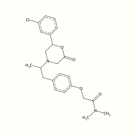 CC(Cc1ccc(OCC(=O)N(C)C)cc1)N1CC(=O)OC(c2cccc(Cl)c2)C1